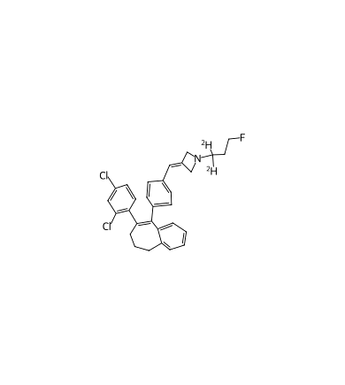 [2H]C([2H])(CCF)N1CC(=Cc2ccc(C3=C(c4ccc(Cl)cc4Cl)CCCc4ccccc43)cc2)C1